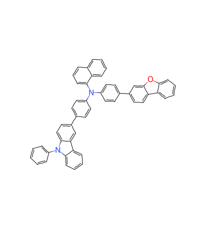 c1ccc(-n2c3ccccc3c3cc(-c4ccc(N(c5ccc(-c6ccc7c(c6)oc6ccccc67)cc5)c5cccc6ccccc56)cc4)ccc32)cc1